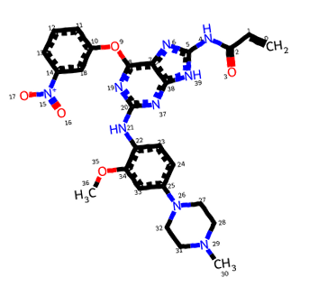 C=CC(=O)Nc1nc2c(Oc3cccc([N+](=O)[O-])c3)nc(Nc3ccc(N4CCN(C)CC4)cc3OC)nc2[nH]1